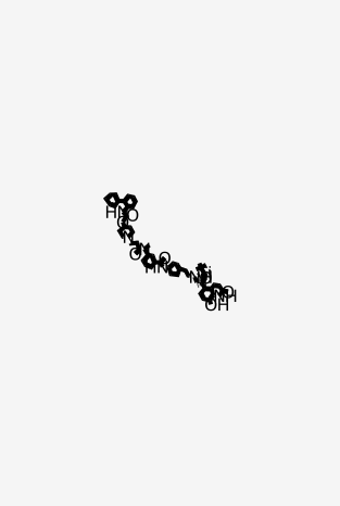 CN(C(=O)CCN1CCC(OC(=O)Nc2ccccc2-c2ccccc2)CC1)c1cccc(C(=O)Nc2ccc(CCNC[C@H](O[Si](C)(C)C(C)(C)C)c3ccc(O)c4[nH]c(=O)ccc34)cc2)c1